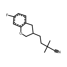 CC(C)(C#N)CCC1COc2cc(F)ccc2C1